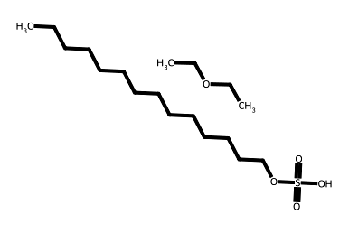 CCCCCCCCCCCCCCOS(=O)(=O)O.CCOCC